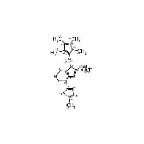 CC1=CC2=C(CCCC2c2ccc(C)s2)[CH]1[Zr+2][C]1=C(C)C(C)=C(C)C1C.[Cl-].[Cl-]